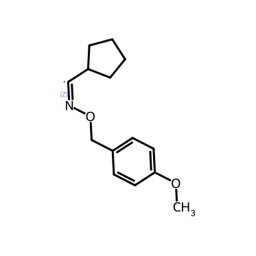 COc1ccc(CO/N=[C]\C2CCCC2)cc1